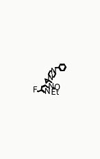 CCC(=O)N(CC1(N2CCN(Cc3ccccc3)CC2)CC1)c1ccc(CF)cn1